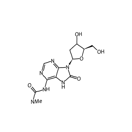 CNC(=O)Nc1ncnc2c1[nH]c(=O)n2[C@H]1CC(O)[C@@H](CO)O1